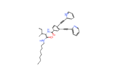 CCCCCCCCNC(=O)[C@@H](NC(=O)c1ccc(C#Cc2ccccn2)c(C#Cc2ccccn2)c1)C(C)CC